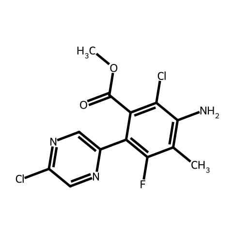 COC(=O)c1c(Cl)c(N)c(C)c(F)c1-c1cnc(Cl)cn1